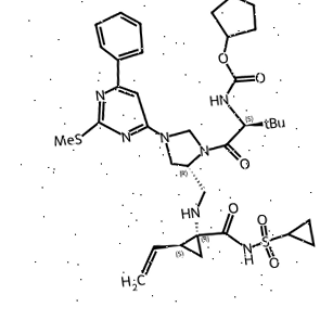 C=C[C@@H]1C[C@]1(NC[C@@H]1CN(c2cc(-c3ccccc3)nc(SC)n2)CN1C(=O)[C@@H](NC(=O)OC1CCCC1)C(C)(C)C)C(=O)NS(=O)(=O)C1CC1